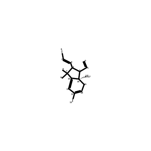 C=CC1C(/C=C/I)C(C)(C)C2=CC(I)=CC[C@@H]21